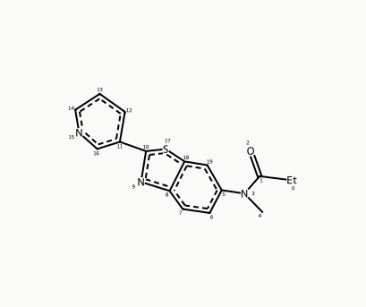 CCC(=O)N(C)c1ccc2nc(-c3cccnc3)sc2c1